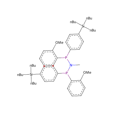 CCCC[Si](CCCC)(CCCC)c1ccc(P(c2ccccc2OC)N(C)P(c2ccc([Si](CCCC)(CCCC)CCCC)cc2)c2ccccc2OC)cc1